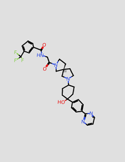 O=C(NCC(=O)N1CC[C@]2(CCN(C3CCC(O)(c4ccc(-c5ncccn5)cc4)CC3)C2)C1)c1cccc(C(F)(F)F)c1